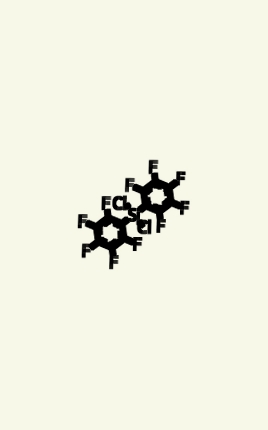 Fc1c(F)c(F)c([Si](Cl)(Cl)c2c(F)c(F)c(F)c(F)c2F)c(F)c1F